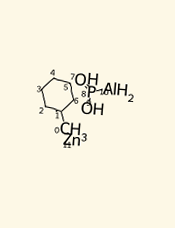 C[C]1CCCCC1.O=[PH](O)[AlH2].[Zn]